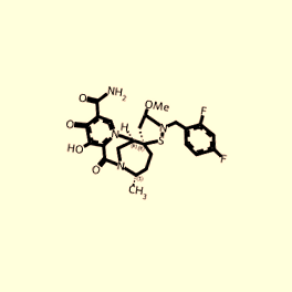 COC1C[C@@]2(CC[C@H](C)N3C[C@H]2n2cc(C(N)=O)c(=O)c(O)c2C3=O)SN1Cc1ccc(F)cc1F